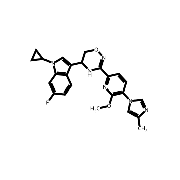 COc1nc(C2=NOCC(c3cn(C4CC4)c4cc(F)ccc34)N2)ccc1-n1cnc(C)c1